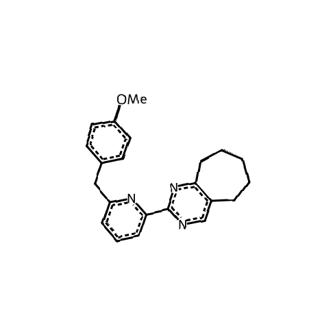 COc1ccc(Cc2cccc(-c3ncc4c(n3)CCCCC4)n2)cc1